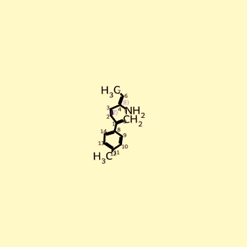 C=C(/C=C\C(N)=C/C)c1ccc(C)cc1